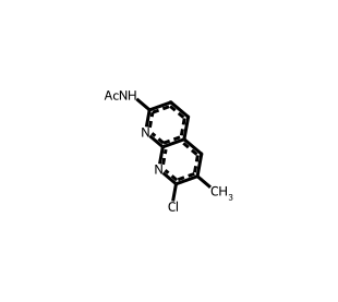 CC(=O)Nc1ccc2cc(C)c(Cl)nc2n1